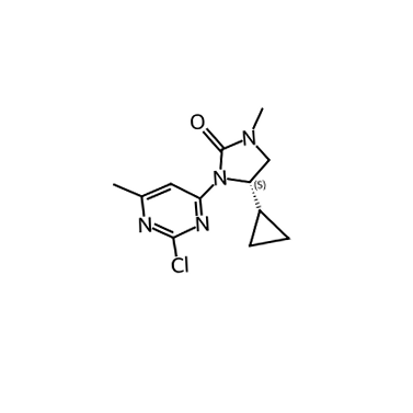 Cc1cc(N2C(=O)N(C)C[C@@H]2C2CC2)nc(Cl)n1